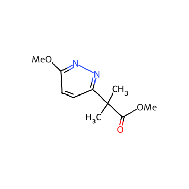 COC(=O)C(C)(C)c1ccc(OC)nn1